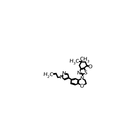 C=CCn1cc(-c2ccc3c(c2)N(c2nc4c(s2)C(=O)CC(C)(C)C4)CCO3)cn1